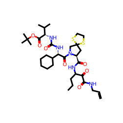 C=CCNC(=O)C(=O)C(CCC)NC(=O)[C@@H]1CC2(CN1C(=O)[C@@H](NC(=O)N[C@H](C(=O)OC(C)(C)C)C(C)C)C1CCCCC1)SCCS2